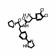 NC(CC(=O)NC(Cc1ccc(C2=NCCN2)cc1)C(=O)N1CCCC1)c1ccc(Cl)c(Cl)c1